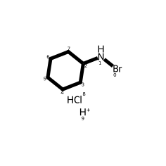 BrNC1CCCCC1.Cl.[H+]